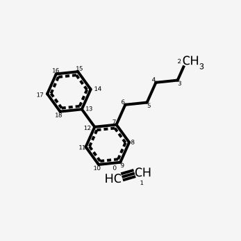 C#C.CCCCCc1ccccc1-c1ccccc1